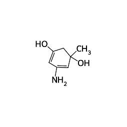 CC1(O)C=C(N)C=C(O)C1